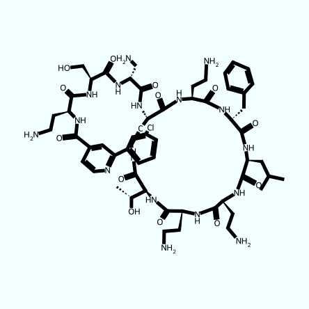 CC(C)C[C@@H]1NC(=O)[C@@H](Cc2ccccc2)NC(=O)[C@H](CCN)NC(=O)[C@@H](NC(=O)[C@@H](CN)NC(=O)[C@H](CO)NC(=O)[C@H](CCN)NC(=O)c2ccnc(-c3cccc(Cl)c3)c2)CCNC(=O)[C@H]([C@@H](C)O)NC(=O)[C@H](CCN)NC(=O)[C@H](CCN)NC1=O